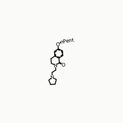 CCCCCOc1ccc2c(c1)CCN(CCN1CCCC1)C2=O